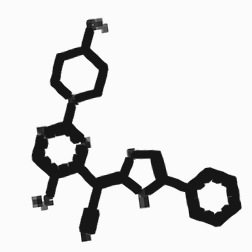 Cc1cnc(N2CCC(C)CC2)nc1/C(C#N)=C1/NC(c2ccccc2)=CS1